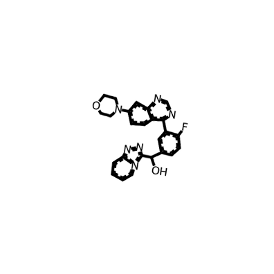 OC(c1ccc(F)c(-c2ncnc3cc(N4CCOCC4)ccc23)c1)c1nnc2ccccn12